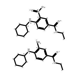 CCOC(=O)c1ccc(NC2CCCCC2)c(N)c1.CCOC(=O)c1ccc(NC2CCCCC2)c([N+](=O)[O-])c1